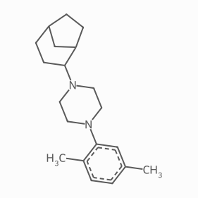 Cc1ccc(C)c(N2CCN(C3CCC4CCC3C4)CC2)c1